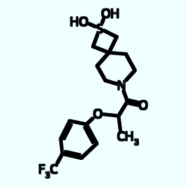 CC(Oc1ccc(C(F)(F)F)cc1)C(=O)N1CCC2(CC1)CS(O)(O)C2